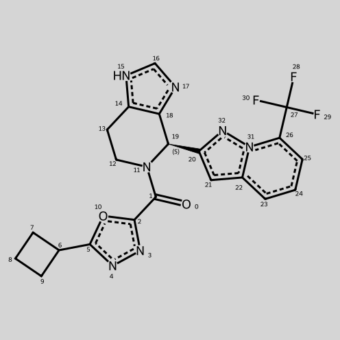 O=C(c1nnc(C2CCC2)o1)N1CCc2[nH]cnc2[C@H]1c1cc2cccc(C(F)(F)F)n2n1